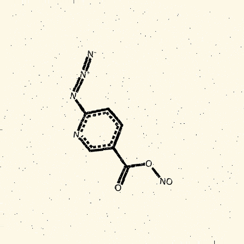 [N-]=[N+]=Nc1ccc(C(=O)ON=O)cn1